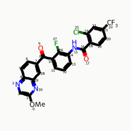 COc1cnc2ccc(C(=O)c3cccc(NC(=O)c4ccc(C(F)(F)F)cc4Cl)c3F)cc2n1